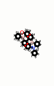 c1ccc(N2c3ccccc3B(c3ccccc3-c3ccccc3B3c4ccccc4Oc4ccccc43)c3ccccc32)cc1